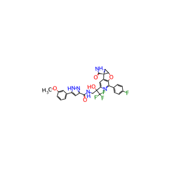 COc1cccc(-c2cc(C(=O)NCC(O)(c3cc4c(c(-c5ccc(F)cc5)n3)OC3C[C@@]43C(N)=O)C(F)(F)F)n[nH]2)c1